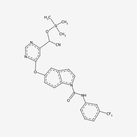 C[Si](C)(C)OC(C#N)c1cc(Oc2ccc3c(ccn3C(=O)Nc3cccc(C(F)(F)F)c3)c2)ncn1